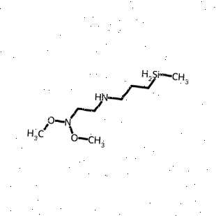 CON(CCNCCC[SiH2]C)OC